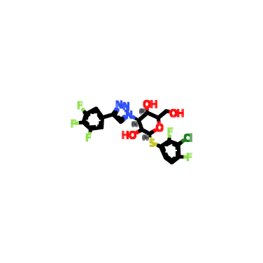 OCC1O[C@H](Sc2ccc(F)c(Cl)c2F)C(O)[C@@H](n2cc(-c3cc(F)c(F)c(F)c3)nn2)[C@H]1O